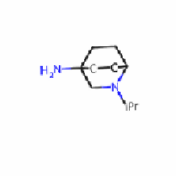 CC(C)N1CC2(N)CCC1CC2